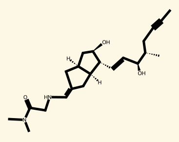 CC#CC[C@H](C)[C@@H](O)/C=C/[C@@H]1[C@H]2CC(=CNCC(=O)N(C)C)C[C@H]2C[C@H]1O